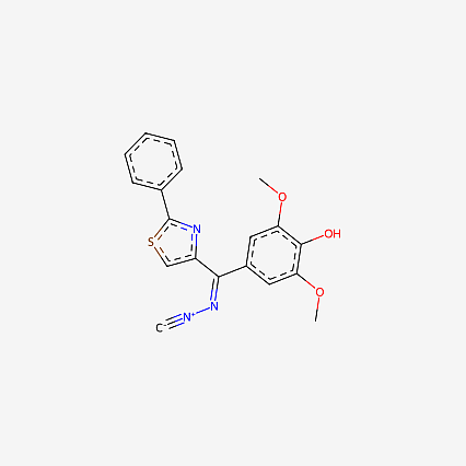 [C-]#[N+]N=C(c1cc(OC)c(O)c(OC)c1)c1csc(-c2ccccc2)n1